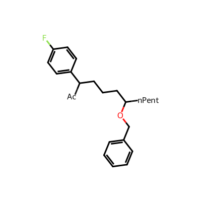 CCCCCC(CCCC(C(C)=O)c1ccc(F)cc1)OCc1ccccc1